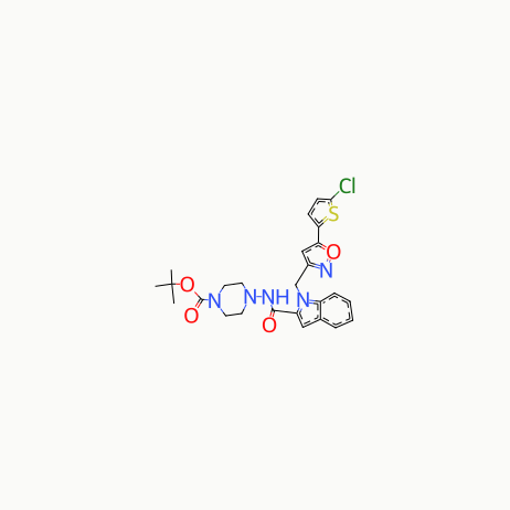 CC(C)(C)OC(=O)N1CCN(NC(=O)c2cc3ccccc3n2Cc2cc(-c3ccc(Cl)s3)on2)CC1